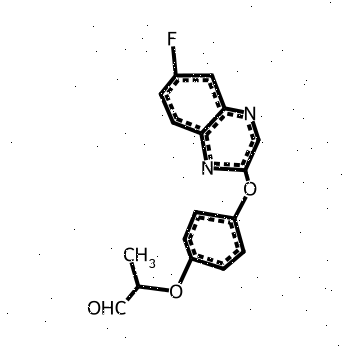 CC(C=O)Oc1ccc(Oc2cnc3cc(F)ccc3n2)cc1